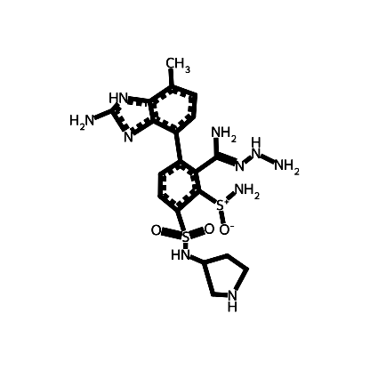 Cc1ccc(-c2ccc(S(=O)(=O)NC3CCNC3)c([S+](N)[O-])c2/C(N)=N/NN)c2nc(N)[nH]c12